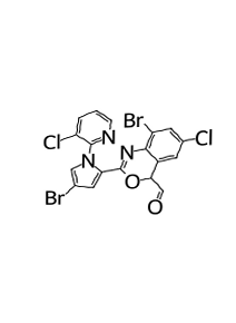 O=CC1OC(c2cc(Br)cn2-c2ncccc2Cl)=Nc2c(Br)cc(Cl)cc21